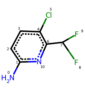 Nc1ccc(Cl)c(C(F)F)n1